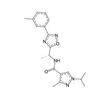 Cc1cccc(-c2noc([C@@H](C)NC(=O)c3cn(C(C)C)nc3C)n2)c1